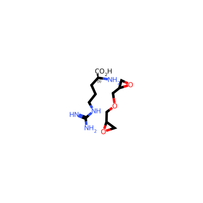 C(OCC1CO1)C1CO1.N=C(N)NCCC[C@H](N)C(=O)O